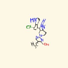 Cc1cnc(N2CCc3n[nH]c(-c4ccc(Cl)c5[nH]ccc45)c3C2)nc1CO